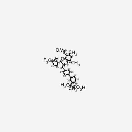 COCc1c(C)cc(C)c(CN(Cc2ccc(-c3cccc(C(C)(C)C(=O)O)c3)cc2)Cc2ccc(C(F)(F)F)o2)c1C